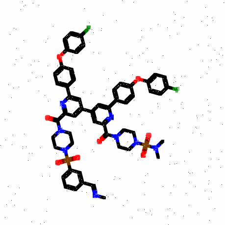 C/N=C/c1cccc(S(=O)(=O)N2CCN(C(=O)c3cc(-c4cc(C(=O)N5CCN(S(=O)(=O)N(C)C)CC5)nc(-c5ccc(Oc6ccc(F)cc6)cc5)c4)cc(-c4ccc(Oc5ccc(F)cc5)cc4)n3)CC2)c1